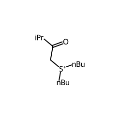 CCCC[S+](CCCC)CC(=O)C(C)C